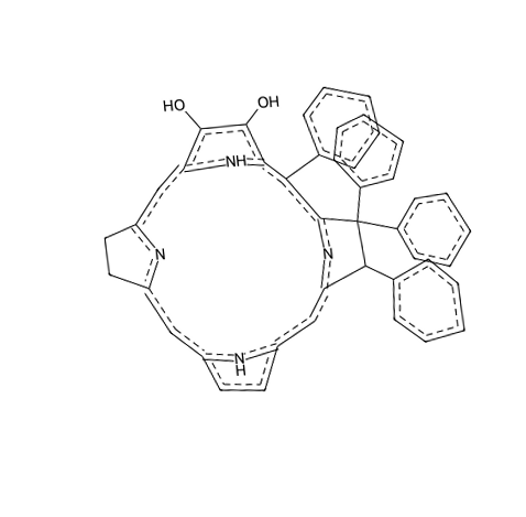 Oc1c(O)c2[nH]c1cc1nc(cc3ccc(cc4nc(c2-c2ccccc2)C(c2ccccc2)(c2ccccc2)C4c2ccccc2)[nH]3)CC1